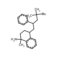 CCC(C)C(C)(C)CC(CC1CCC(C)(N)c2ccccc21)c1ccccc1